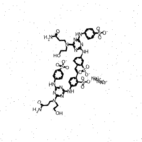 NC(=O)CCN(CCO)c1nc(Nc2ccc(S(=O)(=O)[O-])cc2)nc(Nc2ccc(/C=C/c3ccc(Nc4nc(Nc5ccc(S(=O)(=O)[O-])cc5)nc(N(CCO)CCC(N)=O)n4)cc3S(=O)(=O)[O-])c(S(=O)(=O)[O-])c2)n1.[Na+].[Na+].[Na+].[Na+]